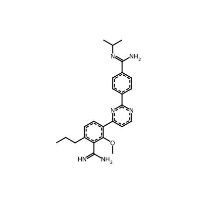 CCCc1ccc(-c2ccnc(-c3ccc(C(N)=NC(C)C)cc3)n2)c(OC)c1C(=N)N